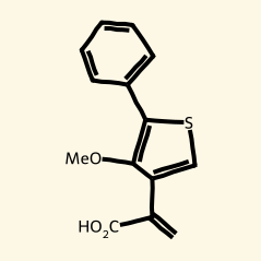 C=C(C(=O)O)c1csc(-c2ccccc2)c1OC